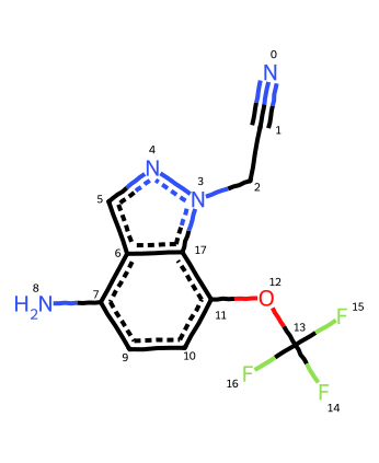 N#CCn1ncc2c(N)ccc(OC(F)(F)F)c21